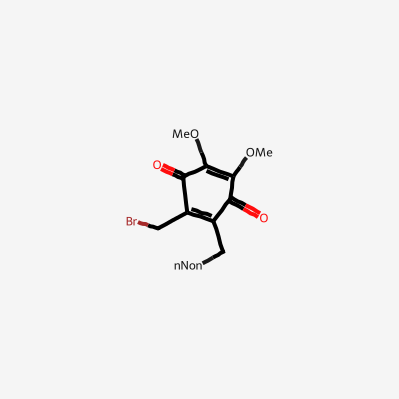 CCCCCCCCCCC1=C(CBr)C(=O)C(OC)=C(OC)C1=O